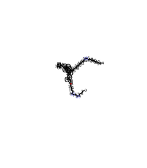 CCCC/C=C\C/C=C\CCCCCCCC(=O)OC[C@H](COP(=O)([O-])OCC[N+](C)(C)C)OC(=O)CCCCCCCCC/C=C\CCCCCCCC